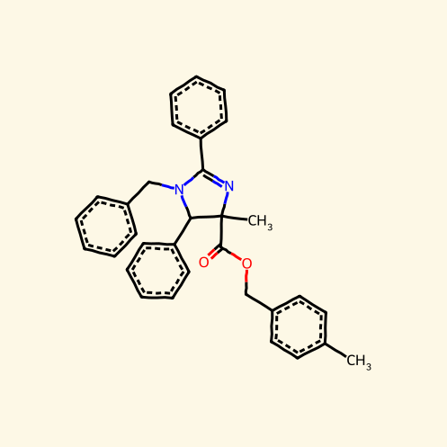 Cc1ccc(COC(=O)C2(C)N=C(c3ccccc3)N(Cc3ccccc3)C2c2ccccc2)cc1